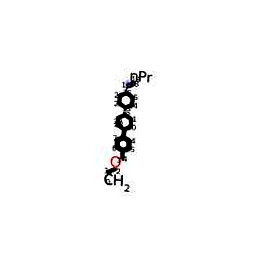 C=CCOCc1ccc(C2CCC([C@H]3CC[C@H](/C=C/CCC)CC3)CC2)cc1